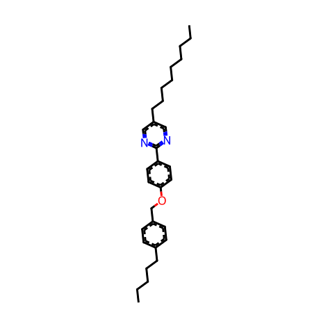 CCCCCCCCCc1cnc(-c2ccc(OCc3ccc(CCCCC)cc3)cc2)nc1